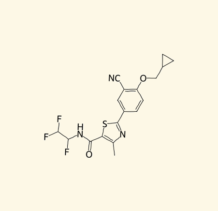 Cc1nc(-c2ccc(OCC3CC3)c(C#N)c2)sc1C(=O)NC(F)C(F)F